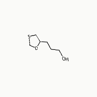 OCCCC1CSCO1